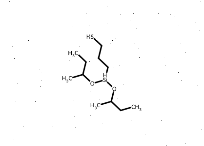 CCC(C)O[SiH](CCCS)OC(C)CC